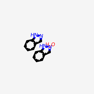 O.c1ccc2[nH]ncc2c1.c1ccc2[nH]ncc2c1